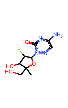 CC1(CO)OC(n2ncc(N)nc2=O)C(F)C1O